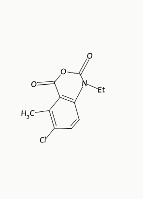 CCn1c(=O)oc(=O)c2c(C)c(Cl)ccc21